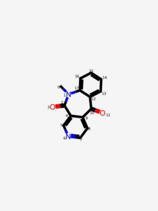 Cn1c(=O)c2cnccc2c(=O)c2ccccc21